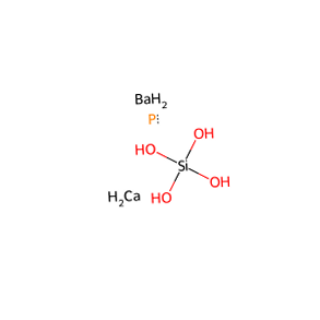 O[Si](O)(O)O.[BaH2].[CaH2].[P]